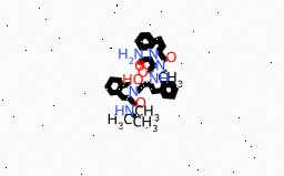 CCN(C(=O)c1ccc2ccccc2n1)C(CC(N)=O)C(=O)NC(Cc1ccccc1)C(O)CN1CC2CCCCC2CC1C(=O)NC(C)(C)C